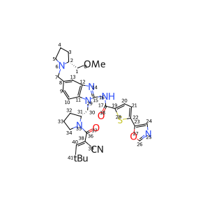 COC[C@H]1CCCN1Cc1ccc2c(c1)nc(NC(=O)c1ccc(-c3cnco3)s1)n2C[C@H]1CCCN1C(=O)C(C#N)=CC(C)(C)C